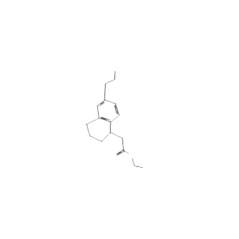 CCOC(=O)CC1CCCc2cc(CCN)ccc21